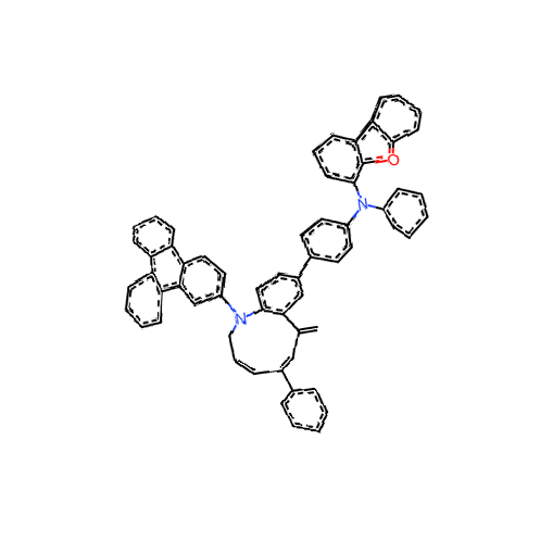 C=C1/C=C(c2ccccc2)\C=C/CN(c2ccc3c4ccccc4c4ccccc4c3c2)c2ccc(-c3ccc(N(c4ccccc4)c4cccc5c4oc4ccccc45)cc3)cc21